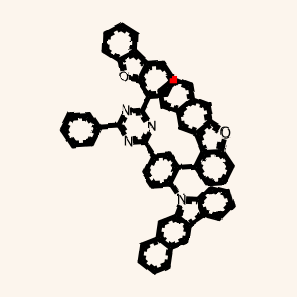 c1ccc(-c2nc(-c3ccc(-n4c5ccccc5c5cc6ccccc6cc54)c(-c4cccc5oc6cc7ccccc7cc6c45)c3)nc(-c3cccc4c3oc3ccccc34)n2)cc1